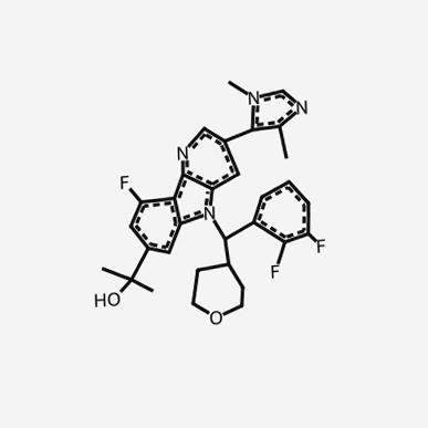 Cc1ncn(C)c1-c1cnc2c3c(F)cc(C(C)(C)O)cc3n(C(c3cccc(F)c3F)C3CCOCC3)c2c1